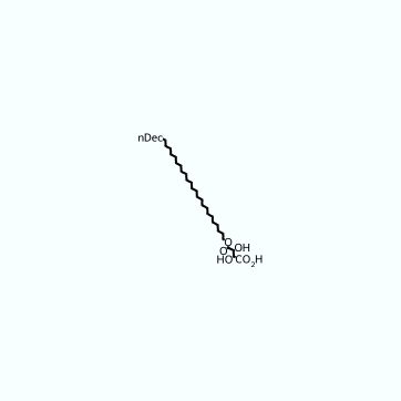 CCCCCCCCCCCCCCCCCCCCCCCCCCCCCCCCCCOC(=O)C(O)C(O)C(=O)O